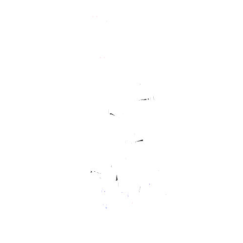 Cc1nnc(C(C)C)n1C1CC2CCC(C1)N2C(=O)[C@]12CC[C@@H](C3(C)CC3)[C@@H]1[C@H]1CC[C@@H]3[C@@]4(C)CC[C@H](OC(=O)CC(C)(C)OC=O)C(C)(C)[C@@H]4CC[C@@]3(C)[C@]1(C)CC2